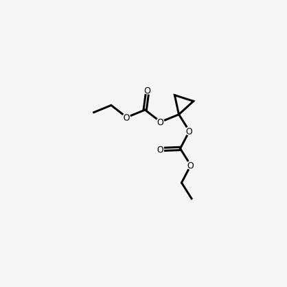 CCOC(=O)OC1(OC(=O)OCC)CC1